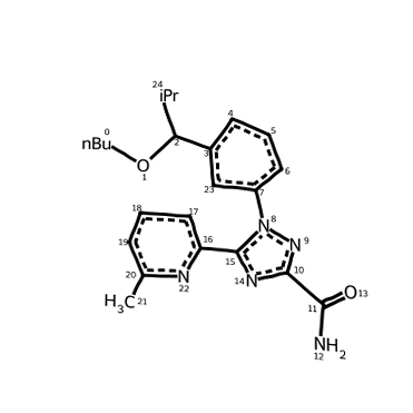 CCCCOC(c1cccc(-n2nc(C(N)=O)nc2-c2cccc(C)n2)c1)C(C)C